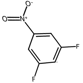 O=[N+]([O-])c1cc(F)[c]c(F)c1